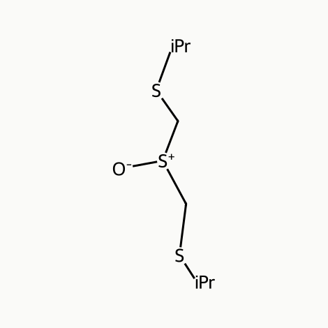 CC(C)SC[S+]([O-])CSC(C)C